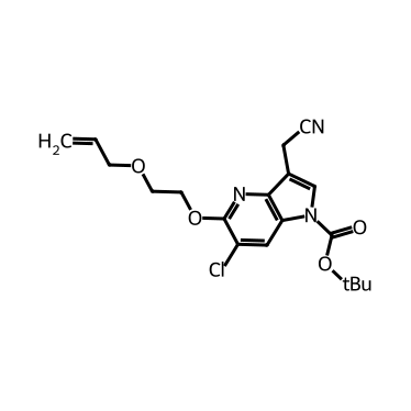 C=CCOCCOc1nc2c(CC#N)cn(C(=O)OC(C)(C)C)c2cc1Cl